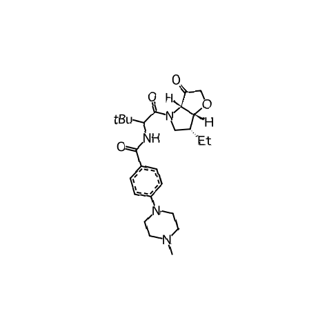 CC[C@@H]1CN(C(=O)C(NC(=O)c2ccc(N3CCN(C)CC3)cc2)C(C)(C)C)[C@@H]2C(=O)CO[C@H]12